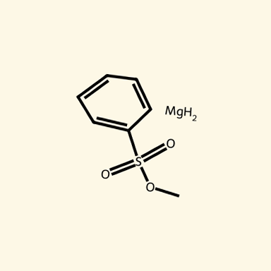 COS(=O)(=O)c1ccccc1.[MgH2]